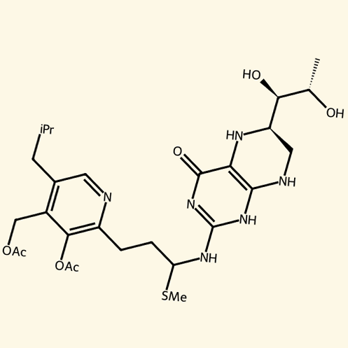 CSC(CCc1ncc(CC(C)C)c(COC(C)=O)c1OC(C)=O)Nc1nc(=O)c2c([nH]1)NC[C@H]([C@@H](O)[C@H](C)O)N2